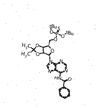 CC(C)(C)OP(=S)(OC[C@H]1O[C@@H](n2cnc3c(NC(=O)c4ccccc4)ncnc32)C2OC(C)(C)OC21)OC(C)(C)C